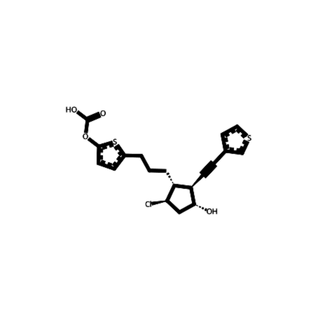 O=C(O)Oc1ccc(CCC[C@@H]2[C@@H](C#Cc3ccsc3)[C@H](O)C[C@H]2Cl)s1